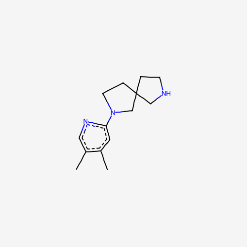 Cc1cnc(N2CCC3(CCNC3)C2)cc1C